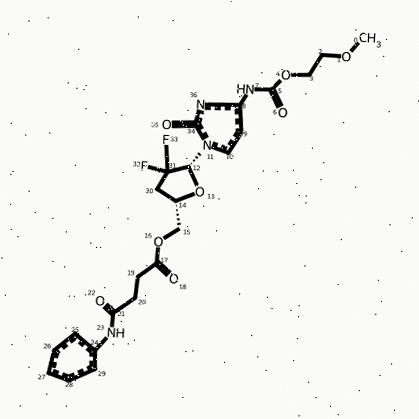 COCCOC(=O)Nc1ccn([C@@H]2O[C@H](COC(=O)CCC(=O)Nc3ccccc3)CC2(F)F)c(=O)n1